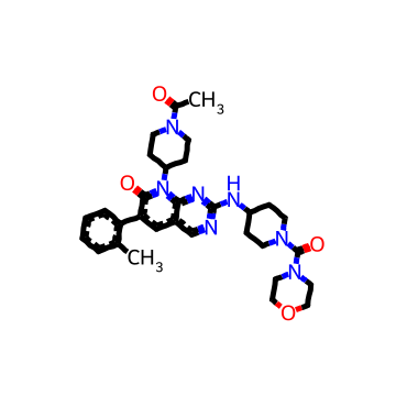 CC(=O)N1CCC(n2c(=O)c(-c3ccccc3C)cc3cnc(NC4CCN(C(=O)N5CCOCC5)CC4)nc32)CC1